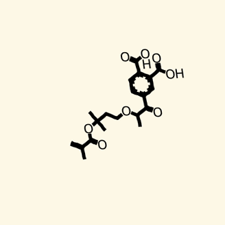 C=C(C)C(=O)OC(C)(C)CCOC(C)C(=O)c1ccc(C(=O)O)c(C(=O)O)c1